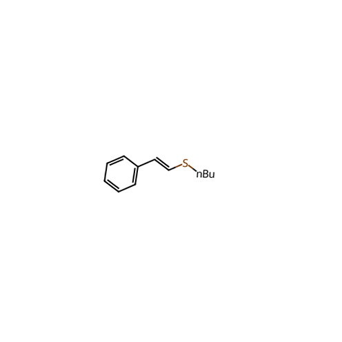 CCCCS/C=C/c1ccccc1